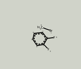 CBr.Fc1ccccc1F